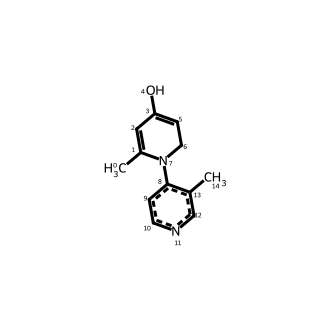 CC1=CC(O)=CCN1c1ccncc1C